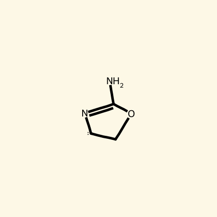 NC1=N[C]CO1